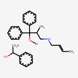 C/C=C/CNCC(C)C(OCC)(c1ccccc1)c1ccccc1.O=C(O)C(O)c1ccccc1